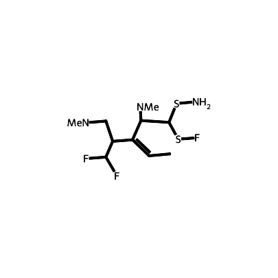 C/C=C(/C(CNC)C(F)F)C(NC)C(SN)SF